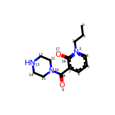 CCCn1cccc(C(=O)N2CCNCC2)c1=O